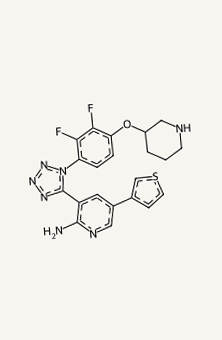 Nc1ncc(-c2ccsc2)cc1-c1nnnn1-c1ccc(OC2CCCNC2)c(F)c1F